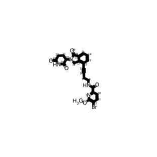 COc1nc(C(=O)NCCC#Cc2cccc3c2CN(C2CCC(=O)NC2=O)C3=O)ccc1Br